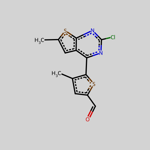 Cc1cc2c(-c3sc(C=O)cc3C)nc(Cl)nc2s1